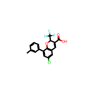 Cc1cccc(-c2cc(Cl)cc3c2OC(C(F)(F)F)C(C(=O)O)=C3)c1